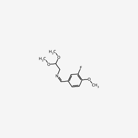 COc1ccc(/C=N\CC(OC)OC)cc1F